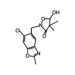 Cc1nc2cc(CN3OC(O)C(C)(C)C3=O)c(Cl)cc2o1